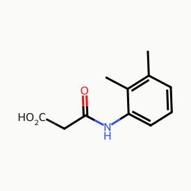 Cc1cccc(NC(=O)CC(=O)O)c1C